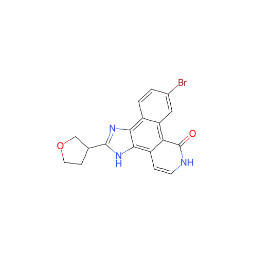 O=c1[nH]ccc2c3[nH]c(C4CCOC4)nc3c3ccc(Br)cc3c12